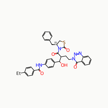 CCc1ccc(C(=O)Nc2ccc(C(O)C(CCn3nnc4ccccc4c3=O)C(=O)N3C(=O)SC[C@@H]3Cc3ccccc3)cc2)cc1